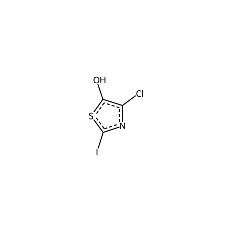 Oc1sc(I)nc1Cl